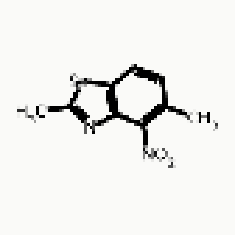 Cc1nc2c([N+](=O)[O-])c(C)ccc2[se]1